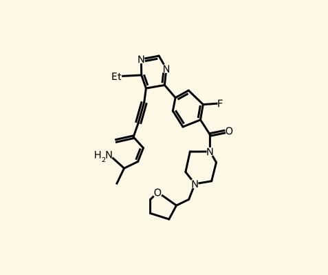 C=C(C#Cc1c(CC)ncnc1-c1ccc(C(=O)N2CCN(CC3CCCO3)CC2)c(F)c1)/C=C\C(C)N